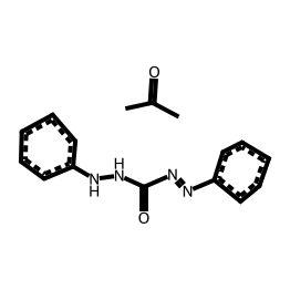 CC(C)=O.O=C(N=Nc1ccccc1)NNc1ccccc1